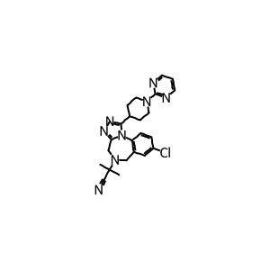 CC(C)(C#N)N1Cc2cc(Cl)ccc2-n2c(nnc2C2CCN(c3ncccn3)CC2)C1